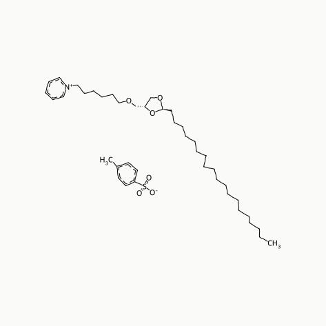 CCCCCCCCCCCCCCCCCCC[C@@H]1OC[C@@H](COCCCCCC[n+]2ccccc2)O1.Cc1ccc(S(=O)(=O)[O-])cc1